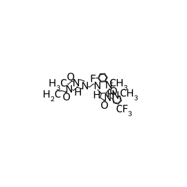 C=CC(=O)N1C[C@H]2CN(CCN3C[C@H]4CC(=O)N(c5cc(C(F)(F)F)cc(C)n5)[C@@H]4C(=O)N(C)c4cccc(F)c43)CCN2C(=O)[C@H]1C